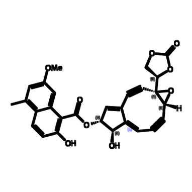 COc1cc(C)c2ccc(O)c(C(=O)O[C@@H]3C=C4C#C[C@]5([C@H]6COC(=O)O6)O[C@@H]5C#C/C=C\4[C@H]3O)c2c1